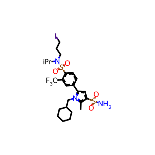 Cc1c(S(N)(=O)=O)cc(-c2ccc(S(=O)(=O)N(CCCI)C(C)C)c(C(F)(F)F)c2)n1CC1CCCCC1